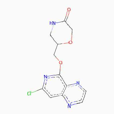 O=C1COC(COc2nc(Cl)cc3nccnc23)CN1